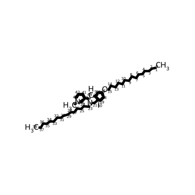 CCCCCCCCCCCCCCCCOc1ccc(CN(CCCCCCCCCCCCCCCC)Cc2ccc[n+](C)c2)c(C)c1.[I-]